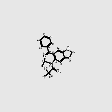 CC(C)N(C(=O)C(F)(F)F)c1cc2c(cc1C(=O)c1ccccc1)OCO2